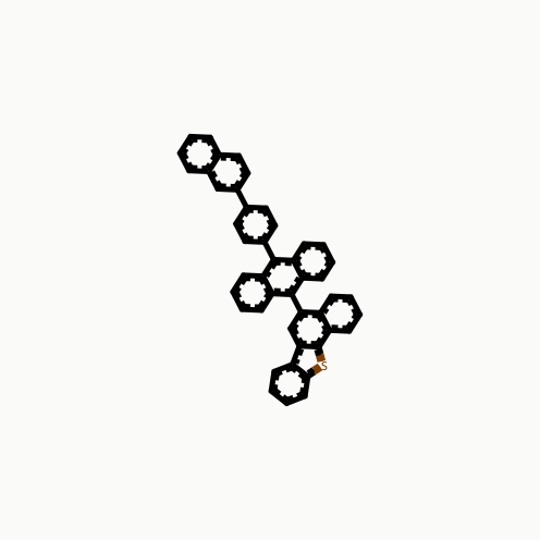 c1ccc2cc(-c3ccc(-c4c5ccccc5c(-c5cc6c7ccccc7sc6c6ccccc56)c5ccccc45)cc3)ccc2c1